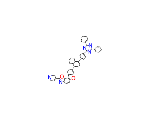 c1ccc(-c2nc(-c3ccccc3)nc(-c3ccc(-c4ccc(-c5ccc6c(c5)oc5ccc7nc(-c8ccncc8)oc7c56)c5ccccc45)cc3)n2)cc1